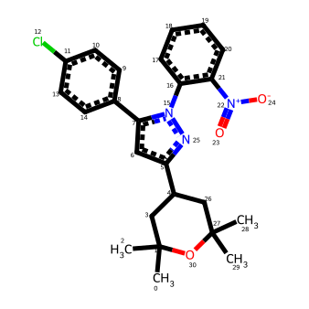 CC1(C)CC(c2cc(-c3ccc(Cl)cc3)n(-c3ccccc3[N+](=O)[O-])n2)CC(C)(C)O1